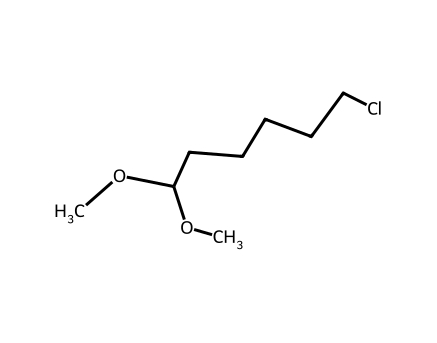 COC(CCCCCCl)OC